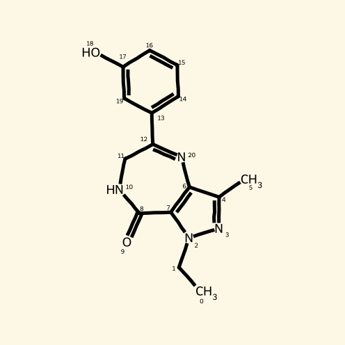 CCn1nc(C)c2c1C(=O)NCC(c1cccc(O)c1)=N2